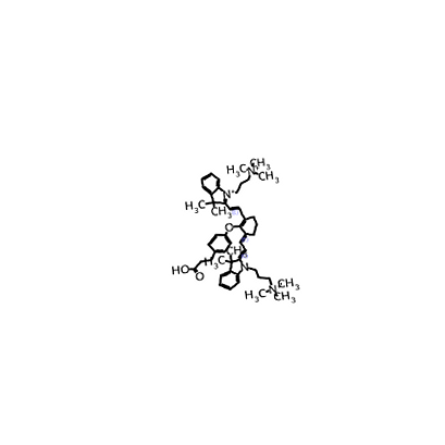 CC1(C)C(/C=C/C2=C(Oc3ccc(CCC(=O)O)cc3)C(=C/C=C3/N(CCC[N+](C)(C)C)c4ccccc4C3(C)C)/CCC2)=[N+](CCC[N+](C)(C)C)c2ccccc21